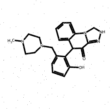 CN1CCN(Cc2cccc(O)c2C2C(=O)C3=NNCN3c3ccccc32)CC1